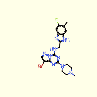 Cc1cc2[nH]c(CNc3nc(N4CCN(C)CC4)nc4c(Br)cnn34)nc2cc1F